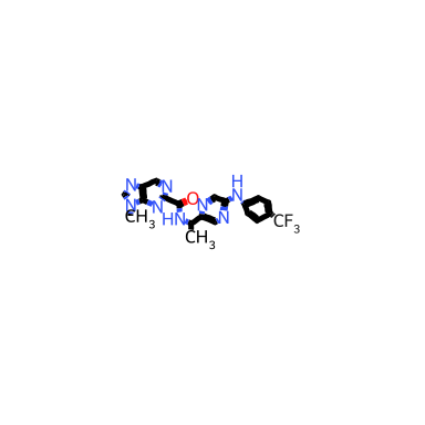 CC(NC(=O)c1ncc2ncn(C)c2n1)c1cnc(Nc2ccc(C(F)(F)F)cc2)cn1